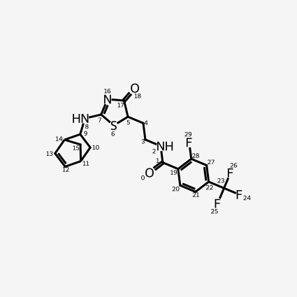 O=C(NCCC1SC(NC2CC3C=CC2C3)=NC1=O)c1ccc(C(F)(F)F)cc1F